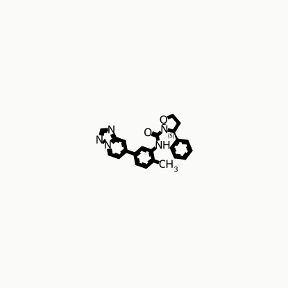 Cc1ccc(-c2ccn3ncnc3c2)cc1NC(=O)N1OCC[C@H]1c1ccccc1